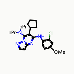 CCCN(CCC)c1c(C2CCCC2)c(Nc2ccc(OC)cc2Cl)nc2ccnn12